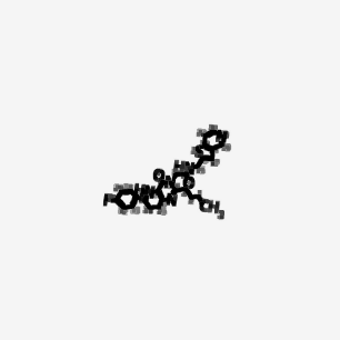 CCCCc1nc2c(c(=O)n1CC(=O)NCc1cc3cnccc3s1)N[C@H](c1ccc(F)cc1)CC2